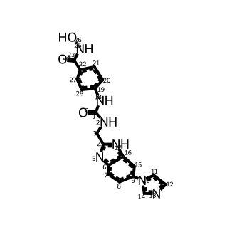 O=C(NCc1nc2ccc(-n3ccnc3)cc2[nH]1)Nc1ccc(C(=O)NO)cc1